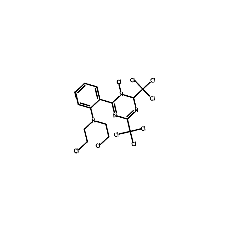 ClCCN(CCCl)c1ccccc1C1=NC(C(Cl)(Cl)Cl)=NC(C(Cl)(Cl)Cl)N1Cl